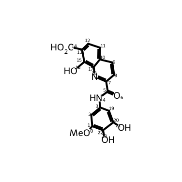 COc1cc(NC(=O)c2ccc3ccc(C(=O)O)c(O)c3n2)cc(O)c1O